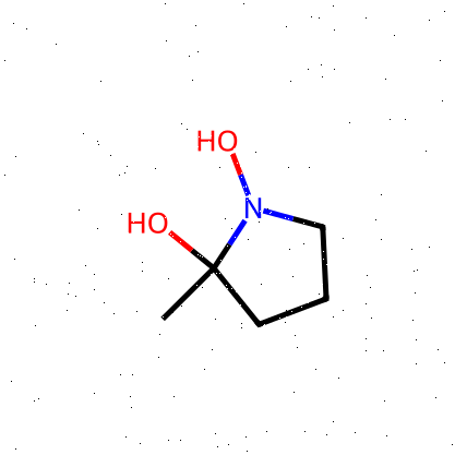 CC1(O)CCCN1O